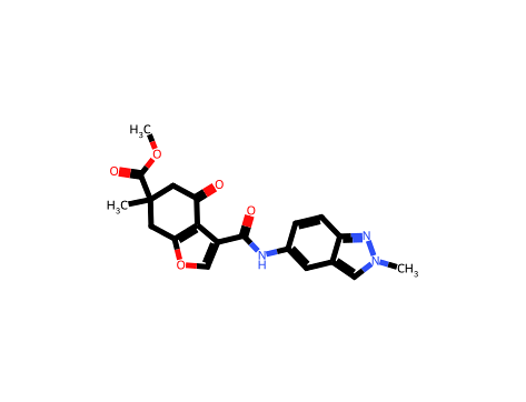 COC(=O)C1(C)CC(=O)c2c(C(=O)Nc3ccc4nn(C)cc4c3)coc2C1